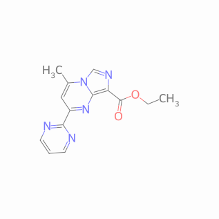 CCOC(=O)c1ncn2c(C)cc(-c3ncccn3)nc12